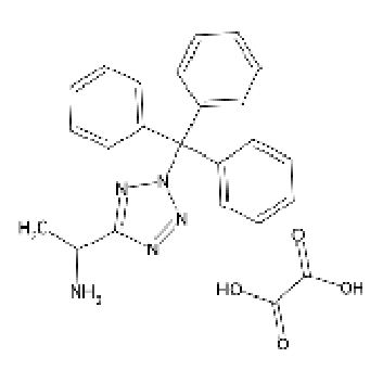 CC(N)c1nnn(C(c2ccccc2)(c2ccccc2)c2ccccc2)n1.O=C(O)C(=O)O